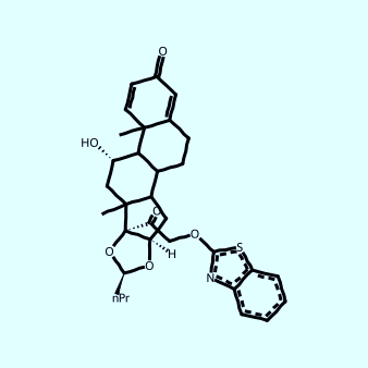 CCC[C@@H]1O[C@@H]2CC3C4CCC5=CC(=O)C=CC5(C)C4[C@@H](O)CC3(C)[C@]2(C(=O)COc2nc3ccccc3s2)O1